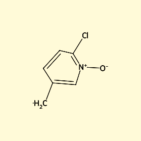 [CH2]c1ccc(Cl)[n+]([O-])c1